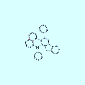 c1ccc(-c2cc3c(c(N(c4ccccc4)c4ccccc4)c2-c2ccccc2)Cc2ccccc2-3)cc1